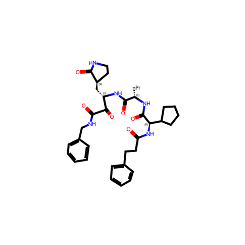 CCC[C@H](NC(=O)[C@H](NC(=O)CCc1ccccc1)C1CCCC1)C(=O)N[C@@H](C[C@@H]1CCNC1=O)C(=O)C(=O)NCc1ccccc1